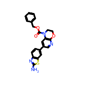 Nc1nc2ccc(-c3cnc4c(c3)N(C(=O)OCc3ccccc3)CCO4)cc2s1